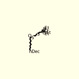 CCCCCCCCCCCCCCCCCC(=O)SCCCSCCC[Si](OCC)(OCC)OCC